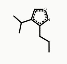 CCCc1nocc1C(C)C